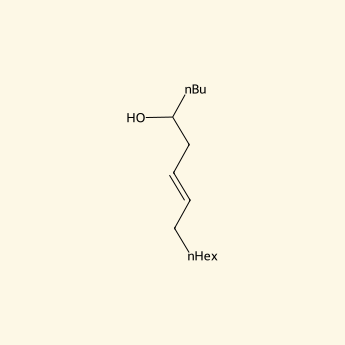 [CH2]CCCCCCC=CCC(O)CCCC